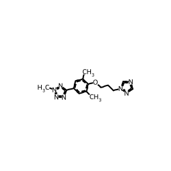 Cc1cc(-c2nnn(C)n2)cc(C)c1OCCCn1cncn1